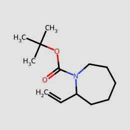 C=CC1CCCCCN1C(=O)OC(C)(C)C